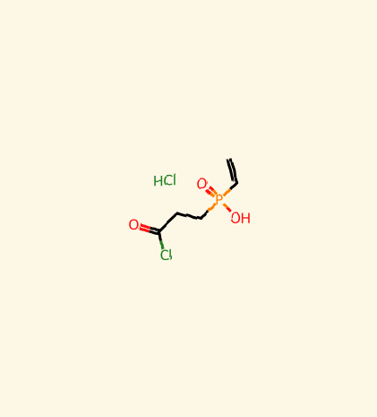 C=CP(=O)(O)CCC(=O)Cl.Cl